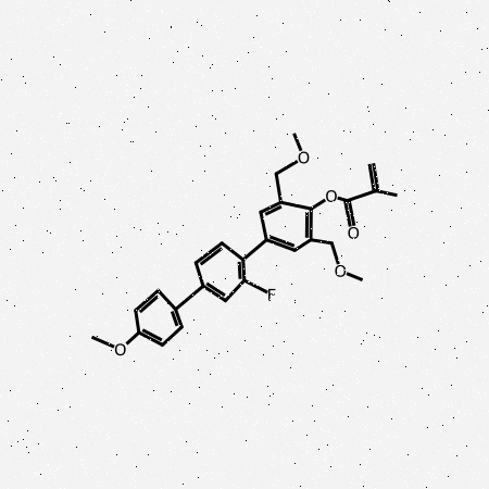 C=C(C)C(=O)Oc1c(COC)cc(-c2ccc(-c3ccc(OC)cc3)cc2F)cc1COC